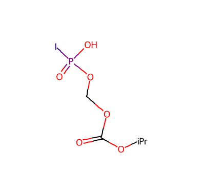 CC(C)OC(=O)OCOP(=O)(O)I